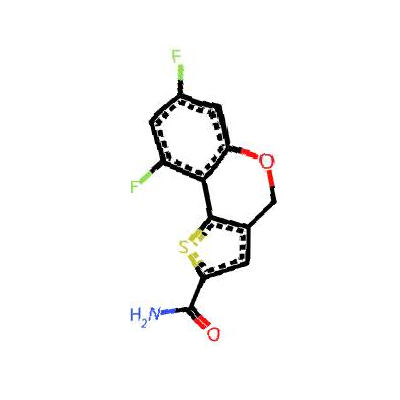 NC(=O)c1cc2c(s1)-c1c(F)cc(F)cc1OC2